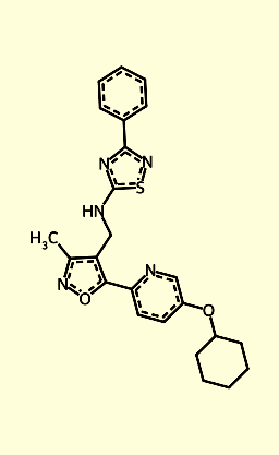 Cc1noc(-c2ccc(OC3CCCCC3)cn2)c1CNc1nc(-c2ccccc2)ns1